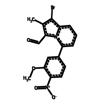 COc1cc(-c2cccc3c(Br)c(C)c(C=O)n23)ccc1[N+](=O)[O-]